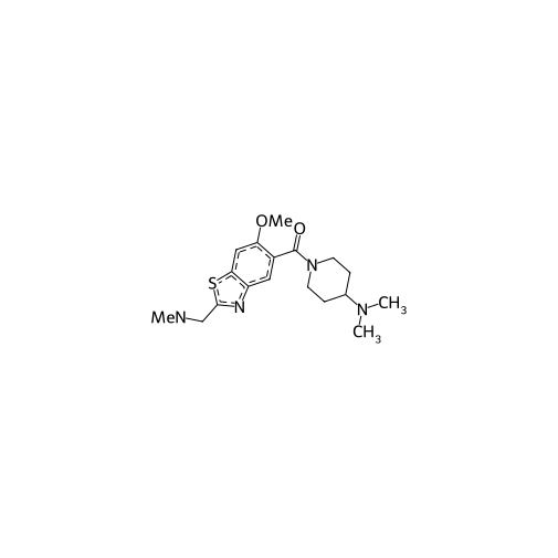 CNCc1nc2cc(C(=O)N3CCC(N(C)C)CC3)c(OC)cc2s1